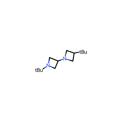 CC(C)(C)C1CN(C2CN(C(C)(C)C)C2)C1